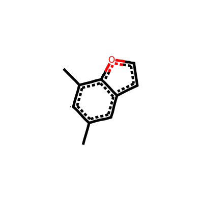 Cc1[c]c(C)c2occc2c1